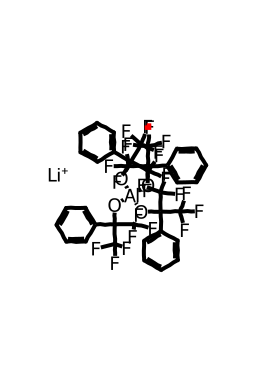 FC(F)(F)C([O][Al-]([O]C(c1ccccc1)(C(F)(F)F)C(F)(F)F)([O]C(c1ccccc1)(C(F)(F)F)C(F)(F)F)[O]C(c1ccccc1)(C(F)(F)F)C(F)(F)F)(c1ccccc1)C(F)(F)F.[Li+]